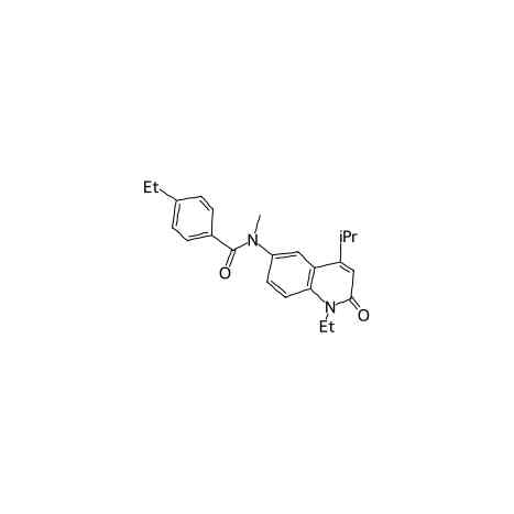 CCc1ccc(C(=O)N(C)c2ccc3c(c2)c(C(C)C)cc(=O)n3CC)cc1